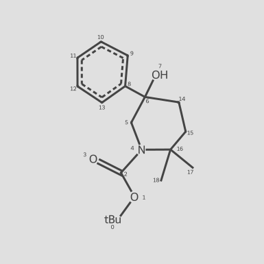 CC(C)(C)OC(=O)N1CC(O)(c2ccccc2)CCC1(C)C